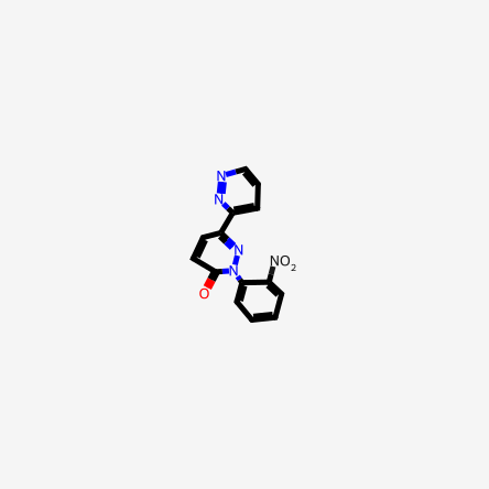 O=c1ccc(-c2cccnn2)nn1-c1ccccc1[N+](=O)[O-]